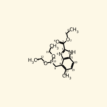 CCOC(=O)c1nc2c(CP(OCC)OCC)c(C)ccc2[nH]1